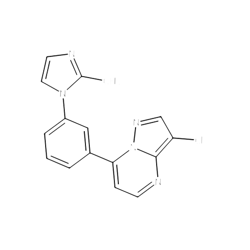 Cc1nccn1-c1cccc(-c2ccnc3c(Cl)cnn23)c1